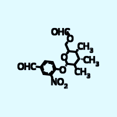 CC1[C@H](Oc2ccc(C=O)cc2[N+](=O)[O-])OC(COC=O)[C@@H](C)[C@@H]1C